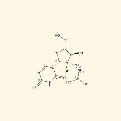 NP(O)O.N[C@@]1(O)[C@H](O)[C@@H](CO)O[C@H]1n1ccc(=O)[nH]c1=O